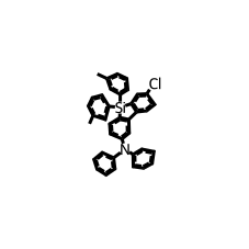 Cc1cccc([Si]2(c3cccc(C)c3)c3ccc(N(c4ccccc4)c4ccccc4)cc3-c3ccc(Cl)cc32)c1